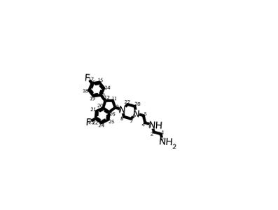 NCCNCCN1CCN(C2CC(c3ccc(F)cc3)c3cc(F)ccc32)CC1